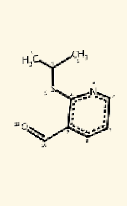 CC(C)Sc1ncccc1C=O